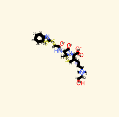 C[N+](C)(C/C=C/C1=C(C(=O)[O-])N2C(=O)[C@@H](NC(=O)CSc3nc4ccccc4s3)[C@H]2SC1)CCO